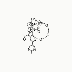 CC(=O)c1nn2c3c(cc(-c4cnc(C)nc4)cc13)COCCOCCOC[C@@]13C[C@@H](C(=O)Nc4nc(Br)ccc4C)N(C(=O)C2)[C@@H]1C3